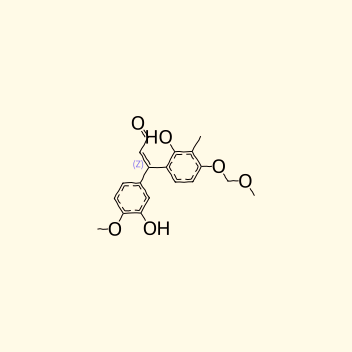 COCOc1ccc(/C(=C\C=O)c2ccc(OC)c(O)c2)c(O)c1C